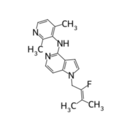 CC(C)=C(F)Cn1ccc2c(Nc3c(C)ccnc3C)nccc21